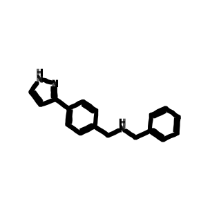 c1ccc(CNCc2ccc(-c3cc[nH]n3)cc2)cc1